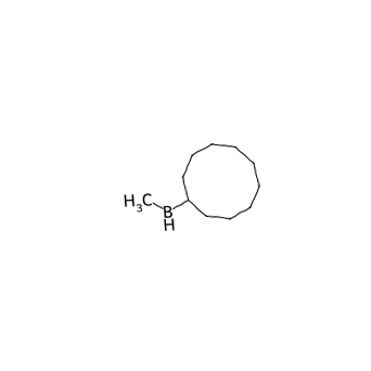 CBC1CCCCCCCCC1